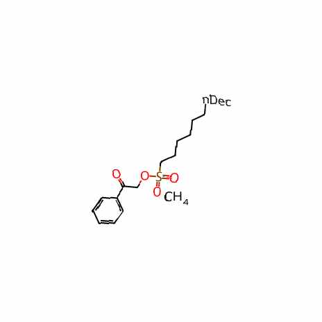 C.CCCCCCCCCCCCCCCCS(=O)(=O)OCC(=O)c1ccccc1